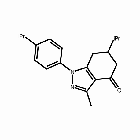 Cc1nn(-c2ccc(C(C)C)cc2)c2c1C(=O)CC(C(C)C)C2